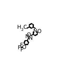 C=Cc1cccc(Cn2cc(-c3nc(-c4ccc(OC(F)(F)F)cc4)no3)ccc2=O)c1